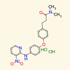 CN(C)C(=O)CCc1ccc(Oc2ccc(Nc3ncccc3[N+](=O)[O-])cc2)cc1.Cl.Cl